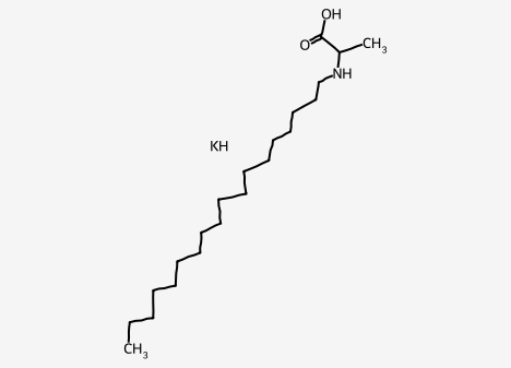 CCCCCCCCCCCCCCCCCCNC(C)C(=O)O.[KH]